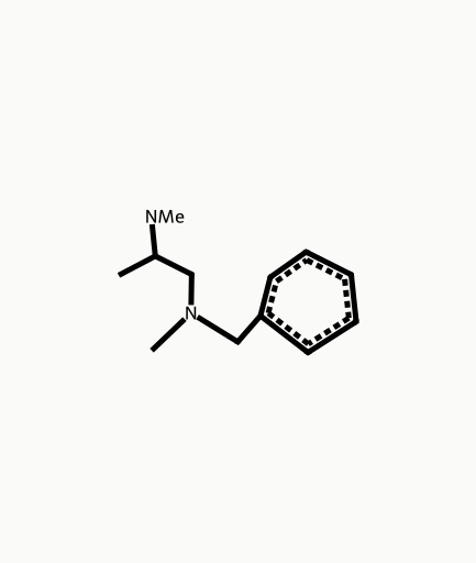 CNC(C)CN(C)Cc1ccccc1